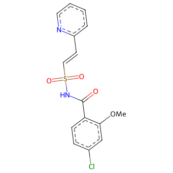 COc1cc(Cl)ccc1C(=O)NS(=O)(=O)C=Cc1ccccn1